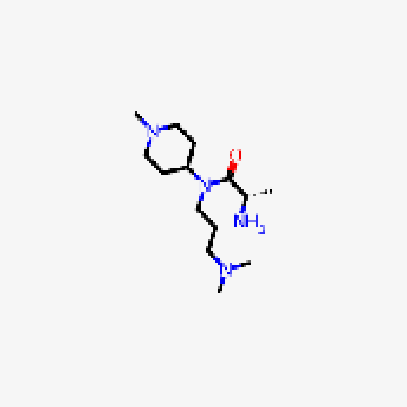 C[C@H](N)C(=O)N(CCCN(C)C)C1CCN(C)CC1